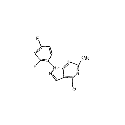 CSc1nc(Cl)c2cnn(-c3ccc(F)cc3F)c2n1